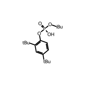 CCC(C)OP(=O)(O)Oc1ccc(C(C)(C)C)cc1C(C)(C)C